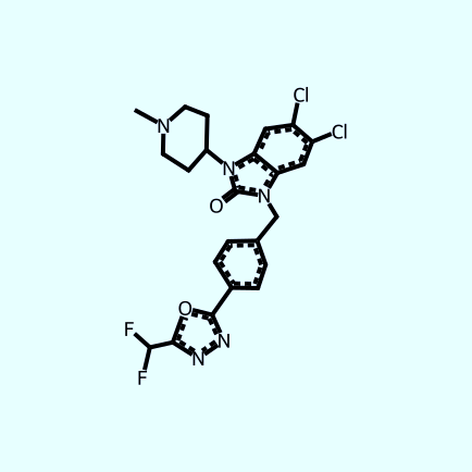 CN1CCC(n2c(=O)n(Cc3ccc(-c4nnc(C(F)F)o4)cc3)c3cc(Cl)c(Cl)cc32)CC1